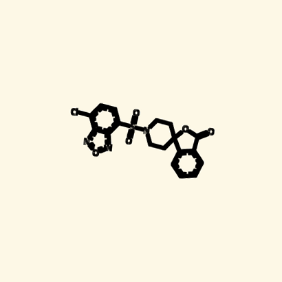 O=C1OC2(CCN(S(=O)(=O)c3ccc(Cl)c4nonc34)CC2)c2ccccc21